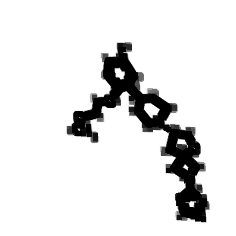 COCCOc1ccc(F)cc1C1CCN([C@@H]2COC3(C2)CN(c2nncs2)C3)CC1